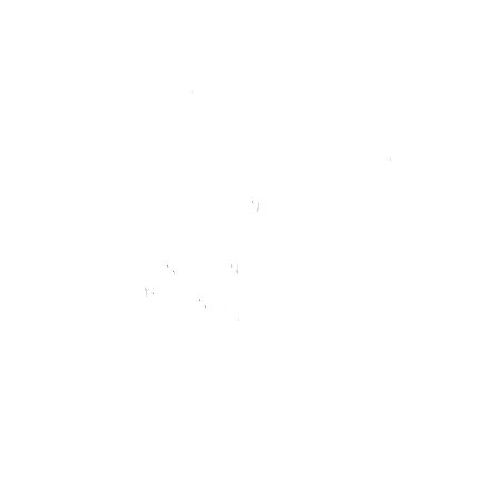 O=C(N1CCN(C(c2ccc3c(c2)COCO3)c2ccc3c(c2)COCO3)CC1)n1cc(-c2ccccc2)nn1